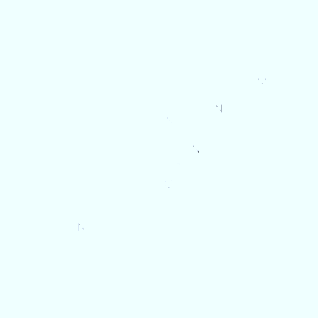 CN(C)c1ccc(C=C2SC(N3CCOCC3)=NC2=O)cc1